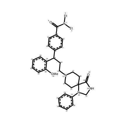 CCN(CC)C(=O)c1ccc(C(CCN2CCC3(CC2)C(=O)NCN3c2ccccc2)c2ccccc2OC)cc1